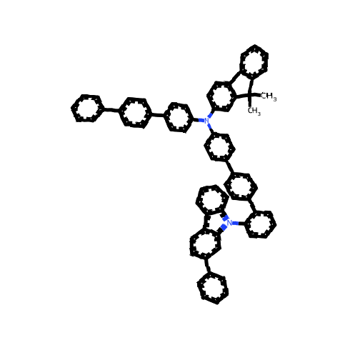 CC1(C)c2ccccc2-c2ccc(N(c3ccc(-c4ccc(-c5ccccc5)cc4)cc3)c3ccc(-c4ccc(-c5ccccc5-n5c6ccccc6c6ccc(-c7ccccc7)cc65)cc4)cc3)cc21